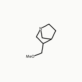 [CH]OCC1CN2CCC1C2